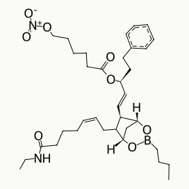 CCCCB1O[C@H]2C[C@@H](O1)[C@H](/C=C/[C@H](CCc1ccccc1)OC(=O)CCCCCO[N+](=O)[O-])C2C/C=C\CCCC(=O)NCC